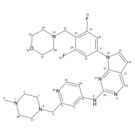 CN1CCN(Cc2cc(Nc3ncc4ccn(-c5cc(F)c(CN6CCOCC6)c(F)c5)c4n3)ccn2)CC1